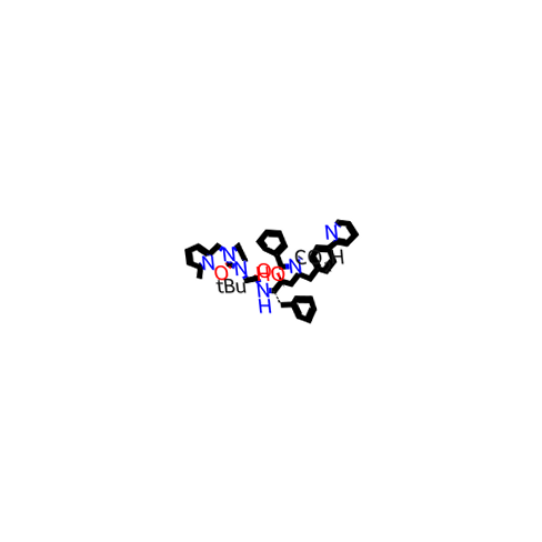 Cc1cccc(CN2CCN([C@H](C(=O)N[C@@H](Cc3ccccc3)[C@@H](O)CC(Cc3ccc(-c4ccccn4)cc3)N(Cc3ccccc3)C(=O)O)C(C)(C)C)C2=O)n1